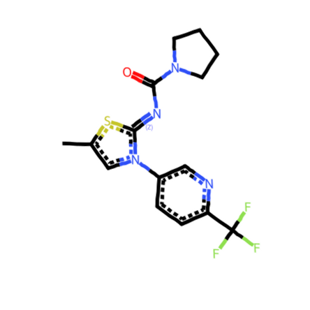 Cc1cn(-c2ccc(C(F)(F)F)nc2)/c(=N/C(=O)N2CCCC2)s1